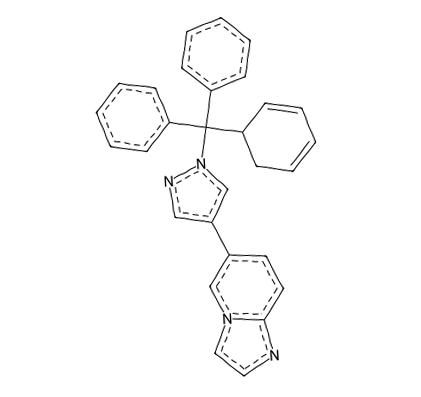 C1=CCC(C(c2ccccc2)(c2ccccc2)n2cc(-c3ccc4nccn4c3)cn2)C=C1